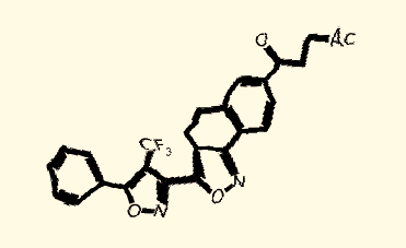 CC(=O)CCC(=O)c1ccc2c(c1)CCc1c-2noc1-c1noc(-c2ccccc2)c1C(F)(F)F